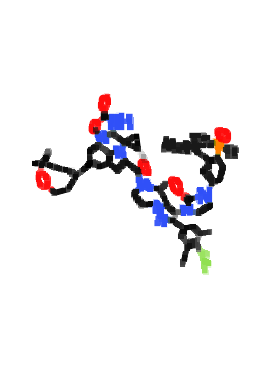 CCP(=O)(CC)c1ccc(-n2ccn(-c3c(-c4cc(C)c(F)c(C)c4)nn4c3C(C)N(C(=O)c3cc5cc([C@H]6CCOC(C)(C)C6)ccc5n3[C@@]3(c5noc(=O)[nH]5)C[C@@H]3C)CC4)c2=O)cc1NC